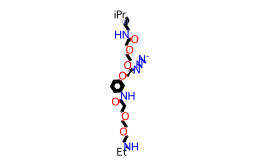 CCNCCOCCOCCC(=O)Nc1cccc(OC[C@H](N=[N+]=[N-])OCCOCC(=O)NC/C=C/C(C)C)c1